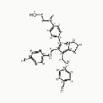 CN(CCO)c1ccc(-c2c(COc3ccc(F)cc3)c(COc3ccc(F)cc3)c3n2CCC3)cc1